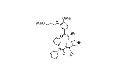 COCCCOc1cc(C(=O)N(C[C@@H]2CNC[C@H]2C(NC(=O)N(c2ccccc2)c2ccccc2)C2CC2)C(C)C)ccc1OC